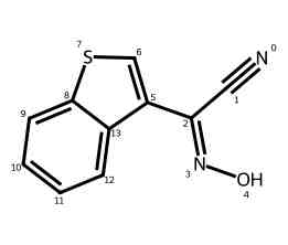 N#CC(=NO)c1csc2ccccc12